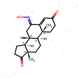 C[C@]12CCC(=O)C=C1/C(=N/O)C[C@@H]1[C@@H]2CC[C@]2(C)C(=O)CC[C@@H]12